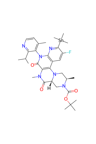 Cc1ccnc(C(C)C)c1-n1c(=O)c2c(c3cc(F)[c]([Sn]([CH3])([CH3])[CH3])nc31)N1C[C@@H](C)N(C(=O)OC(C)(C)C)C[C@@H]1C(=O)N2C